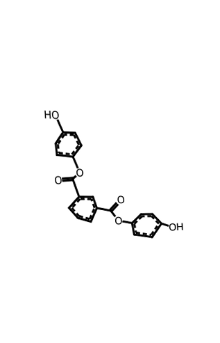 O=C(Oc1ccc(O)cc1)c1cccc(C(=O)Oc2ccc(O)cc2)c1